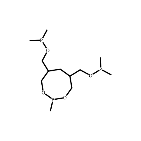 CP(C)OCC1COP(C)OCC(COP(C)C)C1